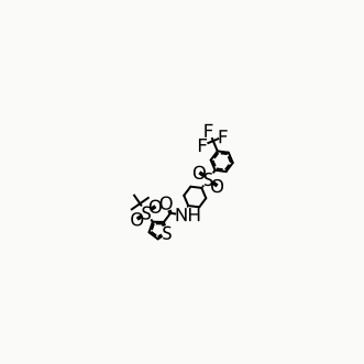 CC(C)(C)S(=O)(=O)c1ccsc1C(=O)N[C@H]1CC[C@H](S(=O)(=O)c2cccc(C(F)(F)F)c2)CC1